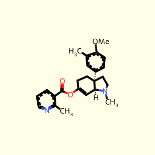 COc1ccc([C@@]23CCC(OC(=O)c4cccnc4C)=C[C@@H]2N(C)CC3)cc1C